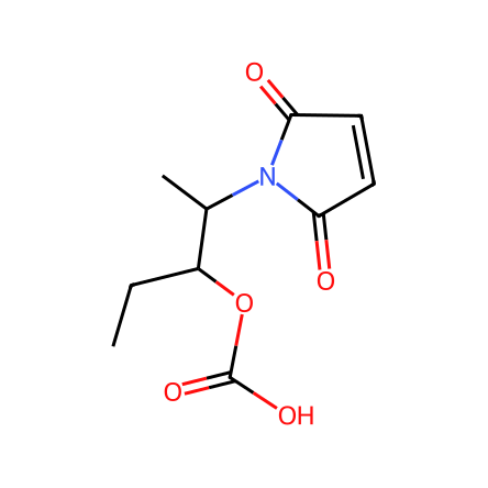 CCC(OC(=O)O)C(C)N1C(=O)C=CC1=O